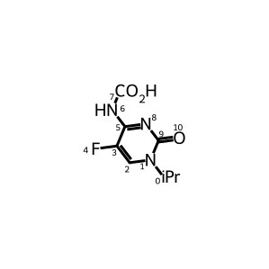 CC(C)n1cc(F)c(NC(=O)O)nc1=O